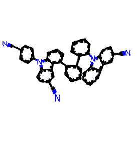 N#Cc1ccc(-n2c3ccc(C#N)cc3c3c(-c4ccccc4-c4ccccc4-n4c5ccccc5c5cc(C#N)ccc54)cccc32)cc1